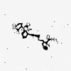 Cn1c(=O)n(C2CCC(=O)NC2=O)c2cccc(C#CCCCc3cccnc3C(N)=O)c21